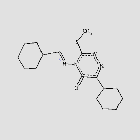 CSc1nnc(C2CCCCC2)c(=O)n1/N=C/C1CCCCC1